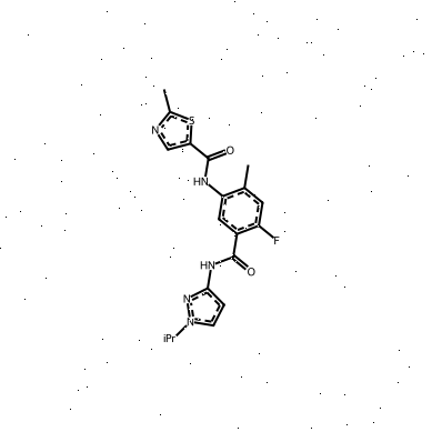 Cc1ncc(C(=O)Nc2cc(C(=O)Nc3ccn(C(C)C)n3)c(F)cc2C)s1